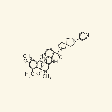 COc1cc(C)c(S(=O)(=O)N(C)Cc2nc3cccc(C(=O)N4CCC5(CCN(c6ccncc6)CC5)C4)c3[nH]2)c(C)c1